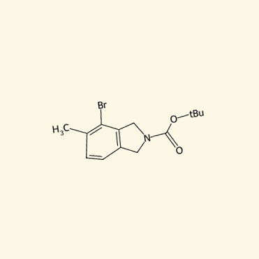 Cc1ccc2c(c1Br)CN(C(=O)OC(C)(C)C)C2